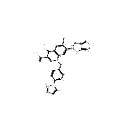 O=C(O)c1cn(Cc2ccc(-n3cccn3)cc2)c2cc(N3Cc4c[nH]nc4C3)c(F)cc2c1=O